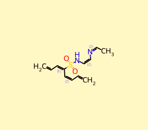 C=C/C=C\C(=C/C=C)S(=O)(=O)N/C=C\N=C/C